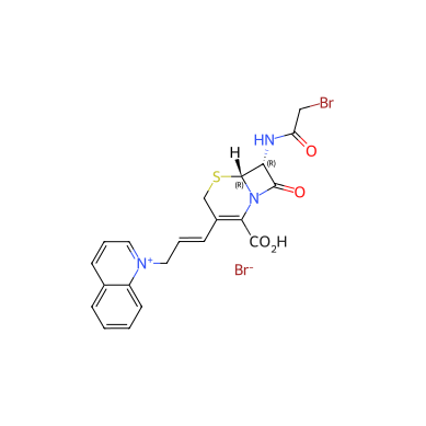 O=C(CBr)N[C@@H]1C(=O)N2C(C(=O)O)=C(C=CC[n+]3cccc4ccccc43)CS[C@H]12.[Br-]